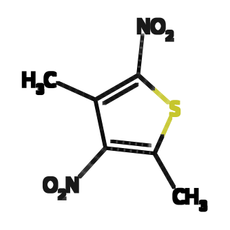 Cc1sc([N+](=O)[O-])c(C)c1[N+](=O)[O-]